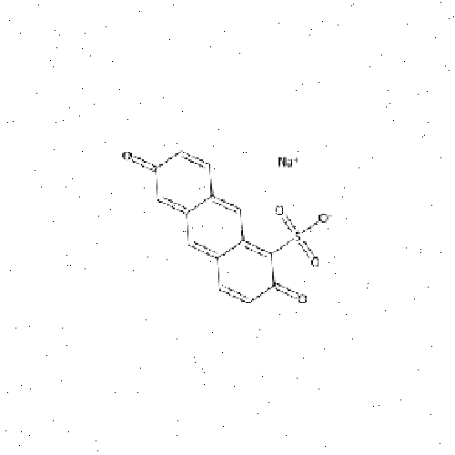 O=C1C=Cc2cc3c(cc2=C1)C=CC(=O)C=3S(=O)(=O)[O-].[Na+]